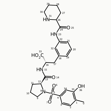 Cc1ccc(S(=O)(=O)N2CCC[C@H]2C(=O)N[C@@H](Cc2cccc(NC(=O)C3CCCCN3)c2)C(=O)O)cc1O